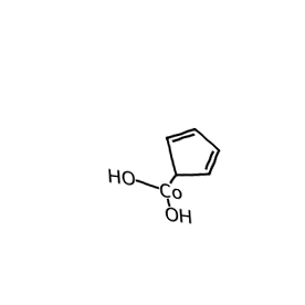 [OH][Co]([OH])[CH]1C=CC=C1